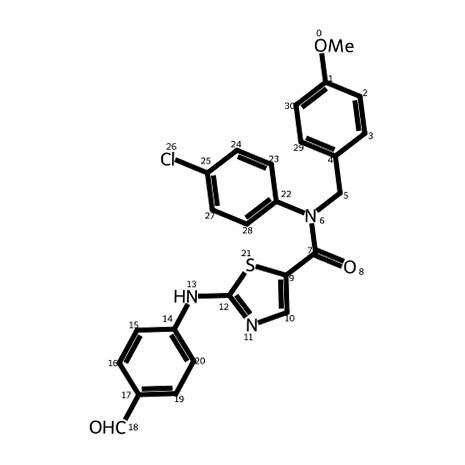 COc1ccc(CN(C(=O)c2cnc(Nc3ccc(C=O)cc3)s2)c2ccc(Cl)cc2)cc1